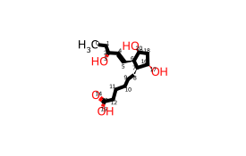 CCC(O)/C=C/[C@@H]1[C@@H](CCCCCC(=O)O)[C@@H](O)C[C@H]1O